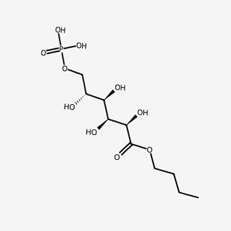 CCCCOC(=O)[C@H](O)[C@@H](O)[C@H](O)[C@H](O)COP(=O)(O)O